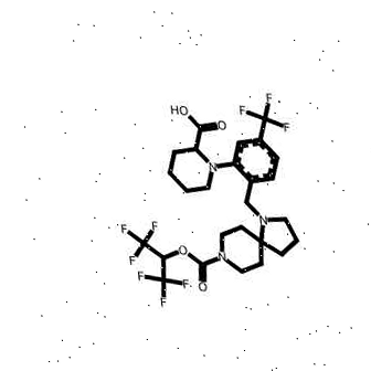 O=C(O)C1CCCCN1c1cc(C(F)(F)F)ccc1CN1CCCC12CCN(C(=O)OC(C(F)(F)F)C(F)(F)F)CC2